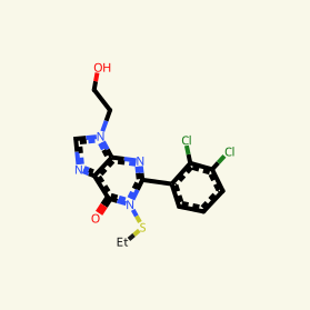 CCSn1c(-c2cccc(Cl)c2Cl)nc2c(ncn2CCO)c1=O